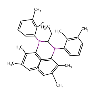 CCC(P(c1cccc(C)c1C)c1cccc(C)c1C)P(c1cccc(C)c1C)c1cccc(C)c1C